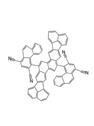 N#Cc1cc(C#N)c2ccc3ccccc3c2c1-c1cc2c3cc4c(cc3c(-c3c(C#N)cc(C#N)c5ccc6ccccc6c35)cc2c2cc3c(cc12)-c1cccc2cccc-3c12)-c1cccc2cccc-4c12